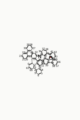 c1ccc(-c2ccccc2-c2ccc3c(c2)c2cc(-c4ccccc4-c4ccccc4)ccc2n3-c2cccc(-c3ccccc3)c2-c2cccc3c2oc2ccccc23)cc1